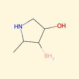 BC1C(O)CNC1C